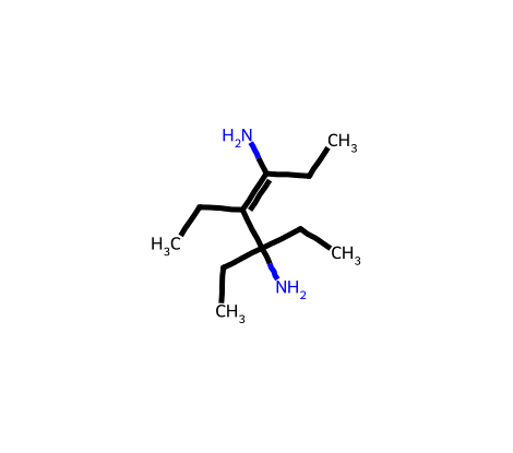 CCC(N)=C(CC)C(N)(CC)CC